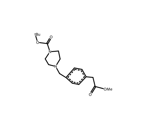 COC(=O)Cc1ccc(CN2CCN(C(=O)OC(C)(C)C)CC2)cc1